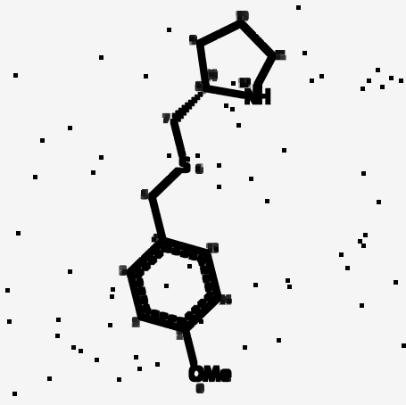 COc1ccc(CSC[C@@H]2CCCN2)cc1